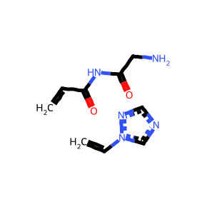 C=CC(=O)NC(=O)CN.C=Cn1cncn1